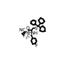 N#CC1(NC(=O)C(CSC(c2ccccc2)(c2ccccc2)c2ccccc2)N[C@H](c2ccc(F)cc2)C(F)(F)F)CC1